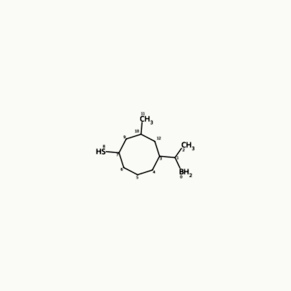 BC(C)C1CCCC(S)CC(C)C1